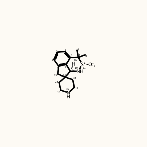 CC1(C)c2cccc3c2[C@@H](N[S@@+]1[O-])C1(CCNCC1)C3